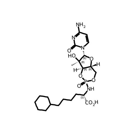 C[C@@]1(O)[C@@H]2OP(=O)(N[C@@H](CCCCC3CCCCC3)C(=O)O)OC[C@H]2O[C@H]1n1ccc(N)nc1=O